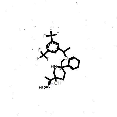 C/C(=N\O)C1(O)CC[C@@](COC(C)c2cc(C(F)(F)F)cc(C(F)(F)F)c2)(C2=CCCC=C2)NC1